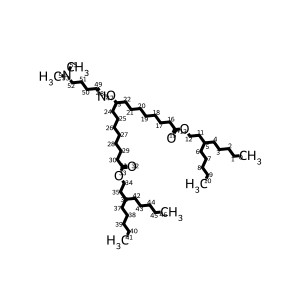 CCCCCC(CCCCC)CCOC(=O)CCCCCCCC(CCCCCCCC(=O)OCCC(CCCCC)CCCCC)O/N=C/CCCN(C)C